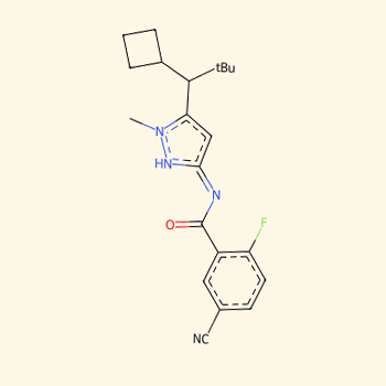 Cn1[nH]c(=NC(=O)c2cc(C#N)ccc2F)cc1C(C1CCC1)C(C)(C)C